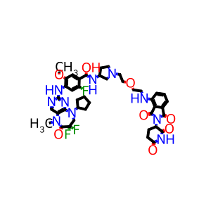 COc1cc(C(O)NC2CCN(CCOCCNc3cccc4c3C(=O)N(C3CCC(=O)NC3=O)C4=O)C2)c(F)cc1Nc1ncc2c(n1)N(C1CCCC1)CC(F)(F)C(=O)N2C